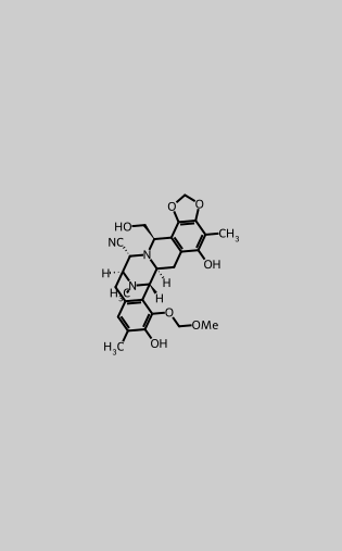 COCOc1c(O)c(C)cc2c1[C@H]1[C@@H]3Cc4c(O)c(C)c5c(c4[C@H](CO)N3[C@@H](C#N)[C@H](C2)N1C)OCO5